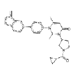 CC1=CC(=O)N(C2CCN(C(=O)C3CC3)C2)C(C)N1c1ccc(-c2ccc3cc[nH]c3c2)cc1